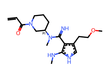 C=CC(=O)N1CCC[C@@H](N(C)C(=N)c2c(CCOC)c[nH]c2NC)C1